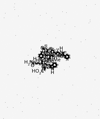 CC[C@H](C)[C@@H]([C@@H](CC(=O)N1CCC[C@H]1[C@H](OC)[C@@H](C)C(=O)N[C@H](C)[C@@H](O)c1ccccc1)OC)N(C)C(=O)[C@@H](NC(=O)[C@H](C(C)C)N(C)C(=O)OCc1ccc(NC(=O)[C@H](CCCNC(N)=O)NC(=O)[C@H](Cc2c[nH]c3ccccc23)NC(=O)CC(=O)O)cc1)C(C)C